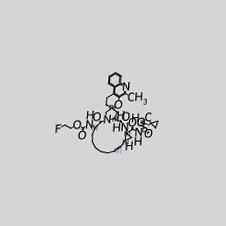 Cc1nc2ccccc2c2c1O[C@]1(CC2)C[C@H]2C(=O)N[C@]3(C(=O)NS(=O)(=O)C4(C)CC4)C[C@H]3/C=C\CCCCC[C@H](NC(=O)OCCF)C(=O)N2C1